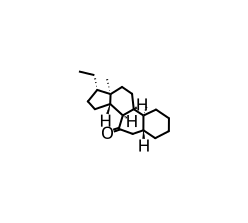 CC[C@H]1CC[C@H]2[C@@H]3C(=O)C[C@H]4CCCC[C@]4(C)[C@H]3CC[C@]12C